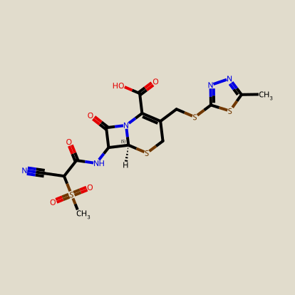 Cc1nnc(SCC2=C(C(=O)O)N3C(=O)C(NC(=O)C(C#N)S(C)(=O)=O)[C@@H]3SC2)s1